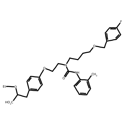 CCOC(Cc1ccc(OCCN(CCCCOCc2ccc(F)cc2)C(=O)Nc2ccccc2C)cc1)C(=O)O